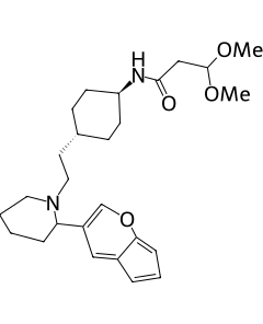 COC(CC(=O)N[C@H]1CC[C@H](CCN2CCCCC2c2coc3cccc-3c2)CC1)OC